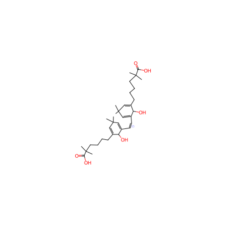 CC1(C)C=C(/C=C\C2=CC(C)(C)C=C(CCCCC(C)(C)C(=O)O)C2O)C(O)C(CCCCC(C)(C)C(=O)O)=C1